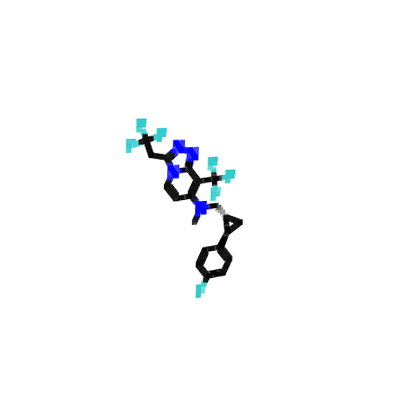 CN(C[C@@H]1C[C@H]1c1ccc(F)cc1)c1ccn2c(CC(F)(F)F)nnc2c1C(F)(F)F